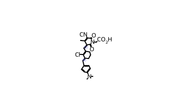 [C-]#[N+]C1=C(C)/C(=C/C2=C(Cl)C(=C/c3ccc(N(C)C)cc3)/CCC2)C(=O)N(CC(=O)O)C1=O